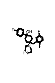 OC1(c2ccc(F)cc2)CCC(Cc2cc(F)ccc2F)(N2CCNCC2)CC1